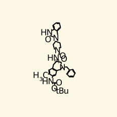 Cc1cc2c(cc1NC(=O)OC(C)(C)C)CN(Cc1ccccc1)C(=O)[C@H](NC(=O)N1CCC(N3Cc4ccccc4NC3=O)CC1)C2